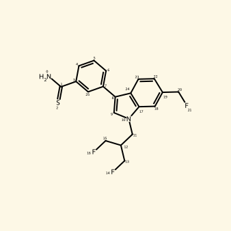 NC(=S)c1cccc(-c2cn(CC(CF)CF)c3cc(CF)ccc23)c1